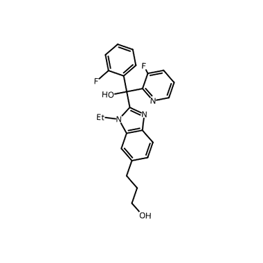 CCn1c(C(O)(c2ccccc2F)c2ncccc2F)nc2ccc(CCCO)cc21